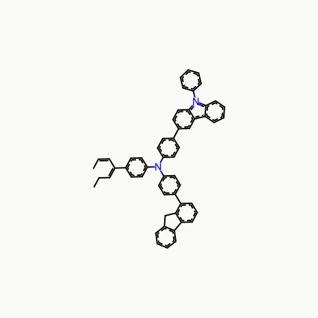 C/C=C\C(=C/CC)c1ccc(N(c2ccc(-c3ccc4c(c3)c3ccccc3n4-c3ccccc3)cc2)c2ccc(-c3cccc4c3Cc3ccccc3-4)cc2)cc1